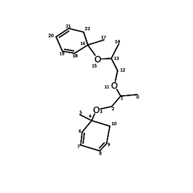 CC(COC1(C)C=CC=CC1)OCC(C)OC1(C)C=CC=CC1